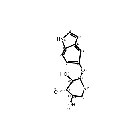 O[C@@H]1[C@@H](O)[C@@H](Oc2ccc3[nH]ccc3c2)SC[C@H]1O